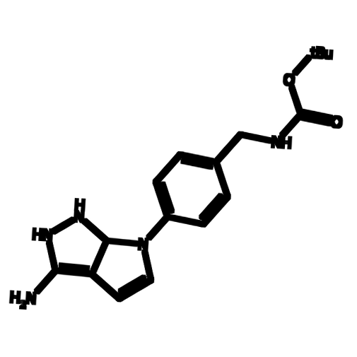 CC(C)(C)OC(=O)NCc1ccc(N2C=CC3=C(N)NNC32)cc1